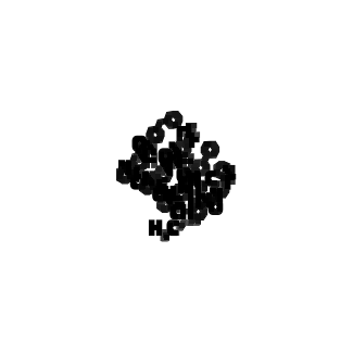 CCCCc1ccc(NC(=O)N2CCC(F)(c3ncccc3C)CC2)cc1.Cc1cccnc1C1(F)CCN(C(=O)Nc2ccc(-c3ccccc3)cc2)CC1.Cc1cccnc1C1(F)CCN(C(=O)Nc2ccc(C(F)(F)F)cn2)CC1.Cc1cccnc1C1(F)CCN(C(=O)Nc2ccc(Cc3ccccc3)cc2)CC1